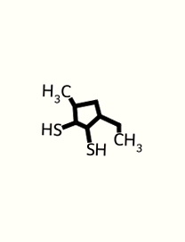 CCC1CC(C)C(S)C1S